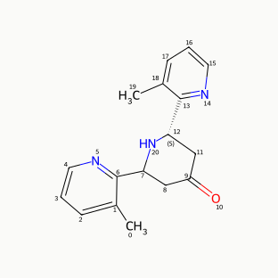 Cc1cccnc1C1CC(=O)C[C@@H](c2ncccc2C)N1